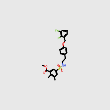 COC(=O)c1cc(S(=O)(=O)NCCc2ccc(OCc3cccc(F)c3F)cc2)cc(C)c1C